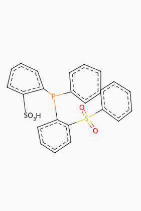 O=S(=O)(O)c1ccccc1P(c1ccccc1)c1ccccc1S(=O)(=O)c1ccccc1